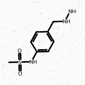 CS(=O)(=O)Nc1ccc(CN[NH])cc1